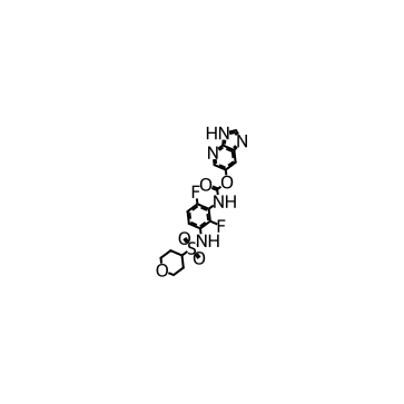 O=C(Nc1c(F)ccc(NS(=O)(=O)C2CCOCC2)c1F)Oc1cnc2[nH]cnc2c1